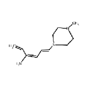 C=C/C(N)=C\C=C\N1CCN(C)CC1